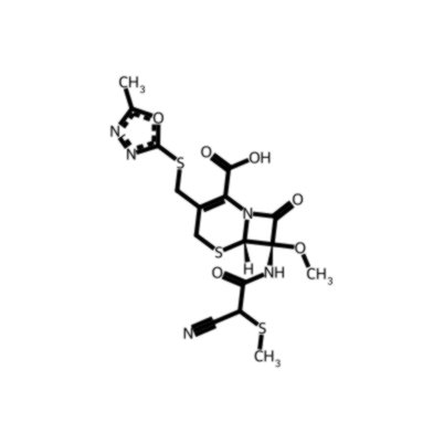 CO[C@@]1(NC(=O)C(C#N)SC)C(=O)N2C(C(=O)O)=C(CSc3nnc(C)o3)CS[C@H]21